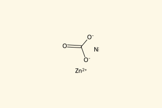 O=C([O-])[O-].[N].[Zn+2]